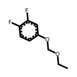 CCOCOc1ccc(F)c(F)c1